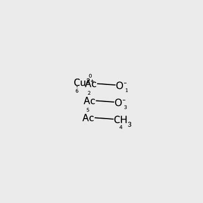 CC(=O)[O-].CC(=O)[O-].CC(C)=O.[Cu+2]